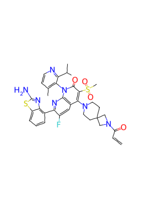 C=CC(=O)N1CC2(CCN(c3c(S(C)(=O)=O)c(=O)n(-c4c(C)ccnc4C(C)C)c4nc(-c5cccc6sc(N)nc56)c(F)cc34)CC2)C1